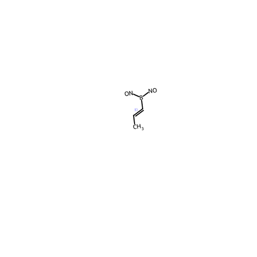 C/C=C/B(N=O)N=O